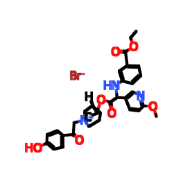 CCOC(=O)c1cccc(NC(C(=O)O[C@H]2C[N+]3(CC(=O)c4ccc(O)cc4)CCC2CC3)c2ccc(OC)nc2)c1.[Br-]